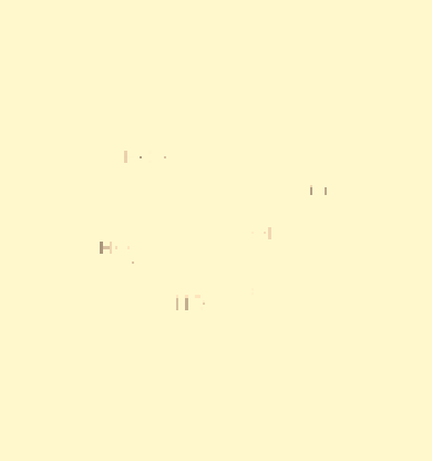 CC(C)CCC(C(=O)O)C(C(=O)O)P(=O)(O)O